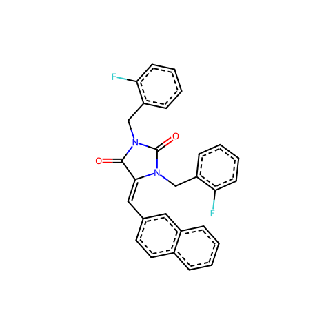 O=C1C(=Cc2ccc3ccccc3c2)N(Cc2ccccc2F)C(=O)N1Cc1ccccc1F